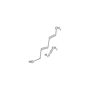 C/C=C/C=C/CO.C=C